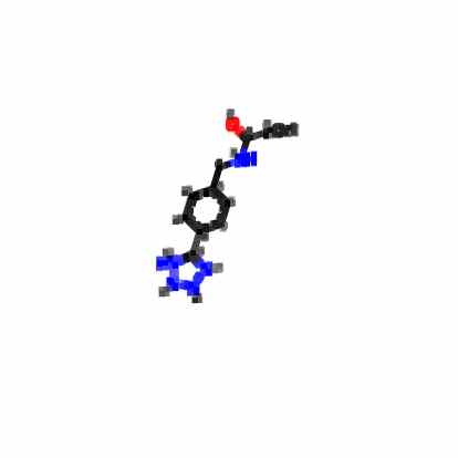 CCCCCCCCC(=O)NCc1ccc(-c2nnn[nH]2)cc1